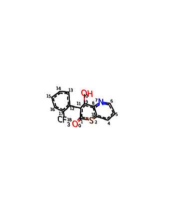 O=c1sc2cccnc2c(O)c1-c1ccccc1C(F)(F)F